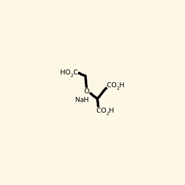 O=C(O)COC(C(=O)O)C(=O)O.[NaH]